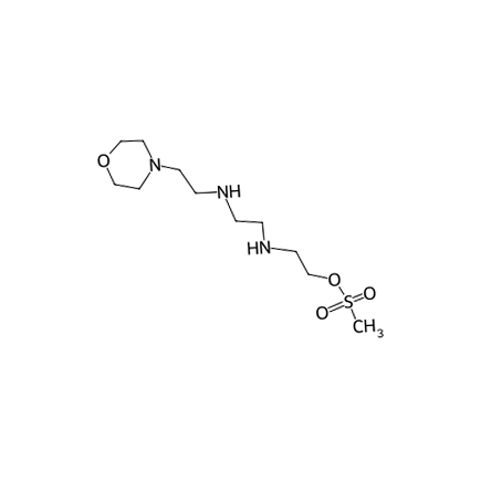 CS(=O)(=O)OCCNCCNCCN1CCOCC1